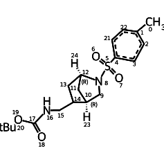 Cc1ccc(S(=O)(=O)N2C[C@@H]3C[C@H]2CC3CNC(=O)OC(C)(C)C)cc1